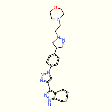 C1=NN(CCN2CCOCC2)CC1c1ccc(-n2cc(-c3n[nH]c4ccccc34)nn2)cc1